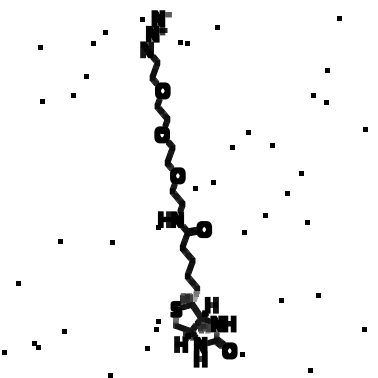 [N-]=[N+]=NCCOCCOCCOCCNC(=O)CCCC[C@H]1SC[C@H]2NC(=O)N[C@H]21